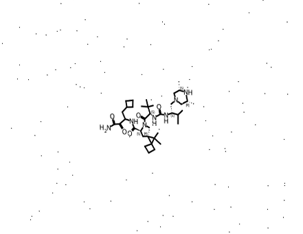 CC(C)[C@@H](CN1C[C@@H](C)N[C@@H](C)C1)NC(=O)N[C@H](C(=O)N1C[C@]2(C[C@H]1C(=O)NC(CC1CCC1)C(=O)C(N)=O)C(C)(C)C21CCC1)C(C)(C)C